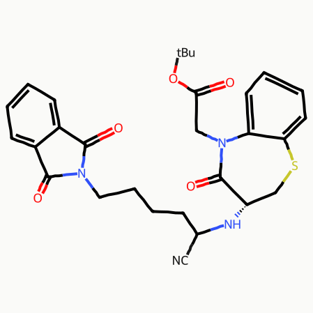 CC(C)(C)OC(=O)CN1C(=O)[C@@H](NC(C#N)CCCCN2C(=O)c3ccccc3C2=O)CSc2ccccc21